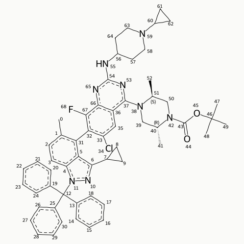 Cc1ccc2c(c(C3CC3)nn2C(c2ccccc2)(c2ccccc2)c2ccccc2)c1-c1c(Cl)cc2c(N3C[C@@H](C)N(C(=O)OC(C)(C)C)C[C@@H]3C)nc(NC3CCN(C4CC4)CC3)nc2c1F